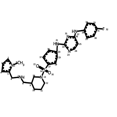 Cn1cccc1CNCC1CCCN(S(=O)(=O)c2ccc(Nc3nccc(Nc4ccc(F)cc4)n3)cc2)C1